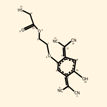 N#CC(C#N)=c1cc(OCCOC(=O)CS)c(=C(C#N)C#N)cc1O